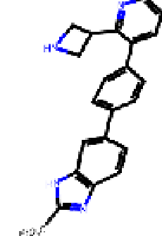 CCOC(=O)c1nc2ccc(-c3ccc(-c4cccnc4C4CNC4)cc3)cc2[nH]1